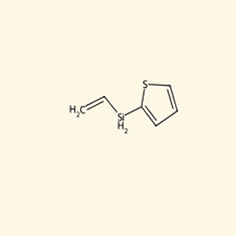 C=C[SiH2]c1cccs1